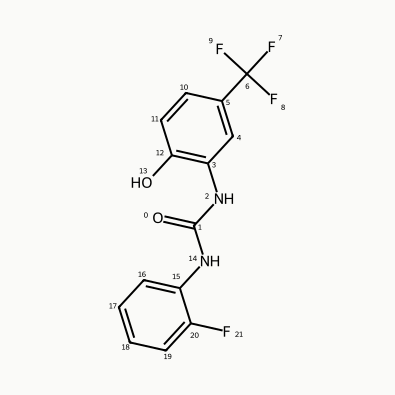 O=C(Nc1cc(C(F)(F)F)ccc1O)Nc1ccccc1F